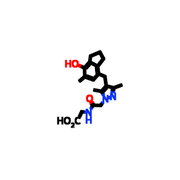 Cc1cc(Cc2c(C)nn(CC(=O)NCC(=O)O)c2C)c2c(c1O)CCC2